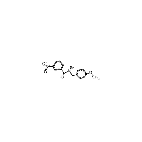 COc1ccc(CN(Br)C(=O)c2cccc([N+](=O)[O-])c2)cc1